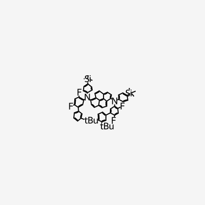 CC(C)(C)c1cccc(-c2cc(N(c3ccc([Si](C)(C)C)cc3)c3ccc4ccc5c(N(c6ccc([Si](C)(C)C)cc6)c6cc(-c7cccc(C(C)(C)C)c7)c(F)cc6F)ccc6ccc3c4c65)c(F)cc2F)c1